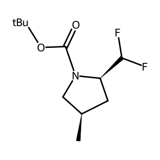 C[C@@H]1C[C@H](C(F)F)N(C(=O)OC(C)(C)C)C1